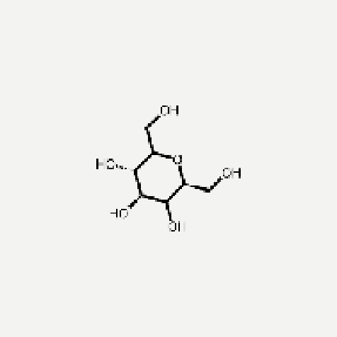 OCC1O[C@@H](CO)C(O)[C@@H](O)[C@@H]1O